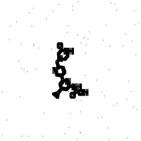 O=C(O)Nc1cc(C2CC2)cc(-c2ccc(CN3CCNC(=O)C3)nc2)n1